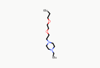 CC(C)(C)CCOCCOCCN1CCN(CC(C)(C)C)CC1